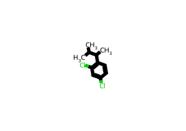 CC(C)C(C)c1ccc(Cl)[c]c1Cl